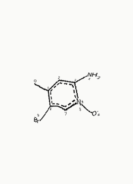 Cc1cc(N)[n+]([O-])cc1Br